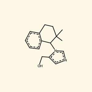 CC1(C)CCc2ccccc2C1n1cncc1CO